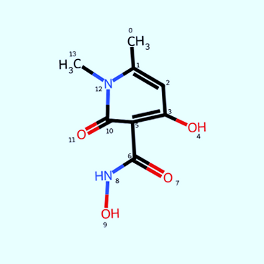 Cc1cc(O)c(C(=O)NO)c(=O)n1C